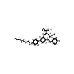 CCCCOCCOc1ccc(-c2ccc3c(c2)C=C(C(=O)O)CCN3Cc2ccccc2OC)cc1